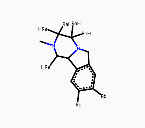 CN1[CH]([RaH])C2c3c[c]([Rb])[c]([Rb])cc3CN2[C]([RaH])([RaH])[C]1([RaH])[RaH]